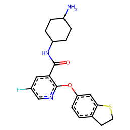 NC1CCC(NC(=O)c2cc(F)cnc2Oc2ccc3c(c2)SCC3)CC1